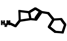 NCC1CC2CC(CC3CCCCC3)=CC12